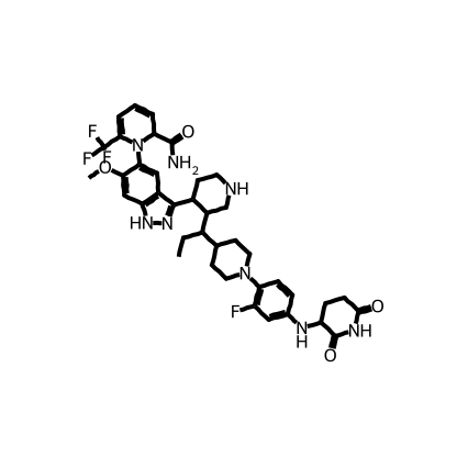 CCC(C1CCN(c2ccc(NC3CCC(=O)NC3=O)cc2F)CC1)C1CNCCC1c1n[nH]c2cc(OC)c(N3C(C(F)(F)F)=CC=CC3C(N)=O)cc12